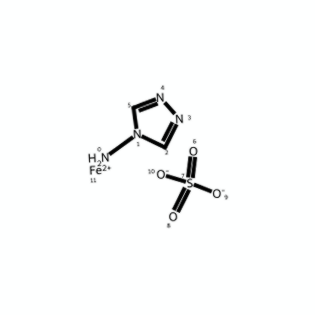 Nn1cnnc1.O=S(=O)([O-])[O-].[Fe+2]